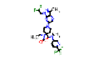 CCN(C=O)C1(C(=O)N(C)c2ccc(C(F)(F)F)nc2)CCN(c2cnc3c(C)nn(CC(F)F)c3n2)CC1